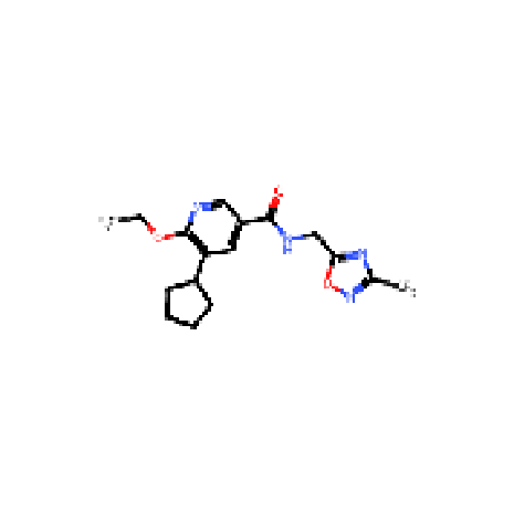 O=C(NCc1nc(C(F)(F)F)no1)c1cnc(OCC(F)(F)F)c(C2CCCC2)c1